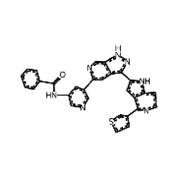 O=C(Nc1cncc(-c2cc3c(-c4cc5c(-c6ccsc6)nccc5[nH]4)n[nH]c3cn2)c1)c1ccccc1